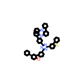 c1ccc(-c2ccc3oc4ccc(-c5nc(-c6ccc7sc8ccccc8c7c6)nc(-c6ccc7c8ccccc8n(-c8cccc9c%10ccccc%10n(-c%10ccccc%10)c89)c7c6)n5)cc4c3c2)cc1